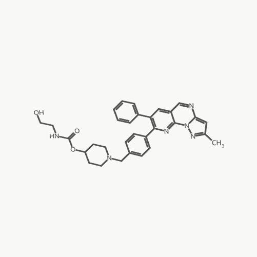 Cc1cc2ncc3cc(-c4ccccc4)c(-c4ccc(CN5CCC(OC(=O)NCCO)CC5)cc4)nc3n2n1